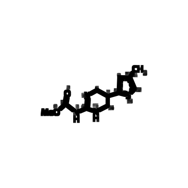 COC(=O)NC1=NCC(c2cc(C)cs2)CN1